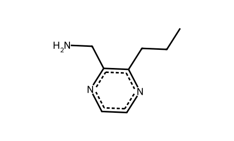 CCCc1nccnc1CN